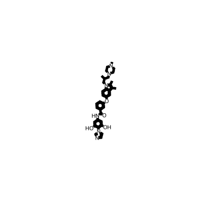 Cc1c(C)n(CC(C)CN2CCN(C)CC2)c2ccc(Oc3cccc(C(=O)Nc4cc(O)c(-n5ccnc5)c(O)c4)c3)cc12